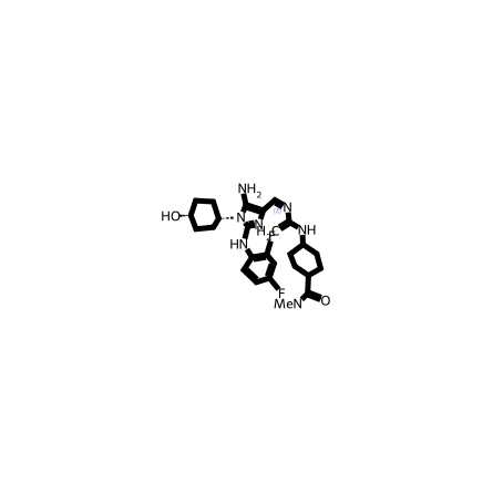 C=C(/N=C\c1nc(Nc2ccc(F)cc2F)n([C@H]2CC[C@@H](O)CC2)c1N)NC1CCC(C(=O)NC)CC1